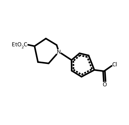 CCOC(=O)C1CCN(c2ccc(C(=O)Cl)cc2)CC1